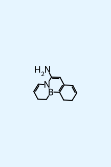 NC1=CC2=C(CCC=C2)B2CCC=CN21